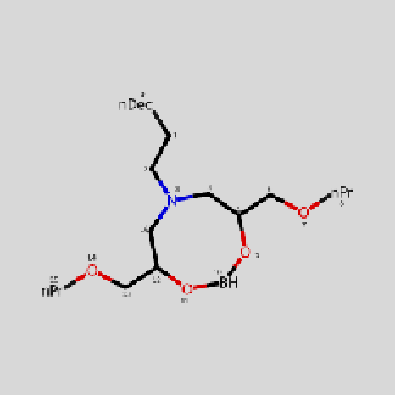 CCCCCCCCCCCCN1CC(COCCC)OBOC(COCCC)C1